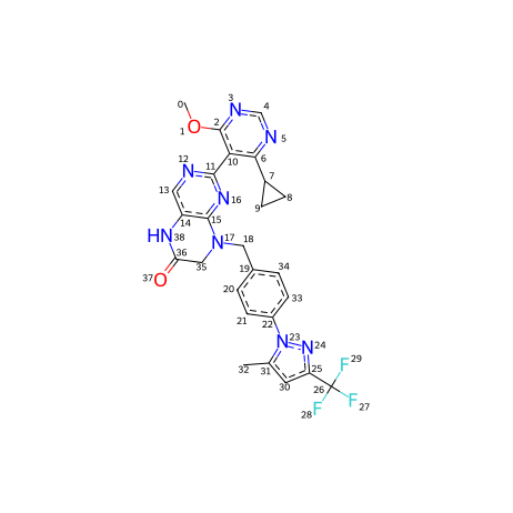 COc1ncnc(C2CC2)c1-c1ncc2c(n1)N(Cc1ccc(-n3nc(C(F)(F)F)cc3C)cc1)CC(=O)N2